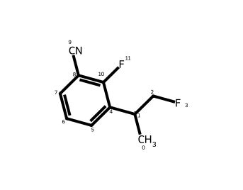 C[C](CF)c1cccc(C#N)c1F